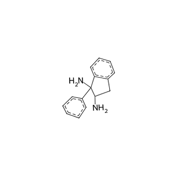 NC1Cc2ccccc2C1(N)c1ccccc1